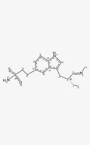 CC[C@@H](C=NC)Cc1c[nH]c2ccc(CCS(N)(=O)=O)cc12